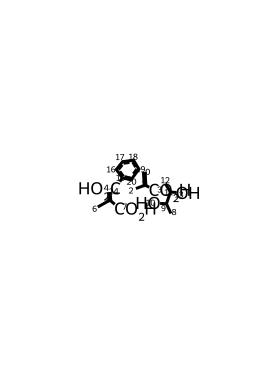 C=C(C)C(=O)O.C=C(C)C(=O)O.CC(O)C(C)O.O=C(O)c1ccccc1